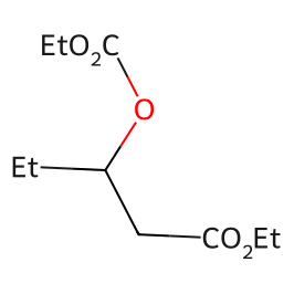 CCOC(=O)CC(CC)OC(=O)OCC